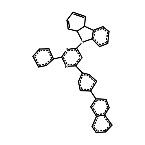 C1=CC2c3ccccc3N(c3nc(-c4ccccc4)nc(-c4ccc(-c5ccc6ccccc6c5)cc4)n3)C2C=C1